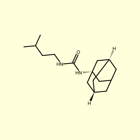 CC(C)CCNC(=O)N[C@]12CC3C[C@@H](C[C@H](C3)C1)C2